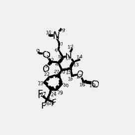 COC(=O)C1=C(CCN(C)C)N(C)C(C)=C(COC=O)C1c1ccc(C(F)(F)F)cc1